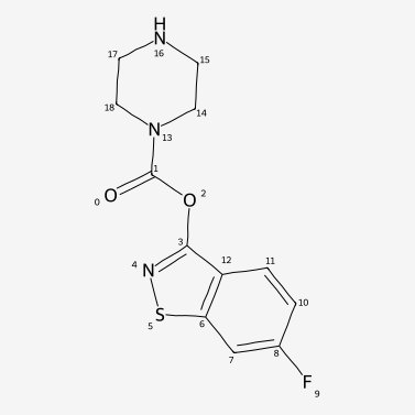 O=C(Oc1nsc2cc(F)ccc12)N1CCNCC1